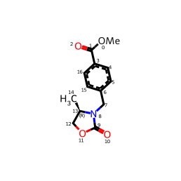 COC(=O)c1ccc(CN2C(=O)OC[C@H]2C)cc1